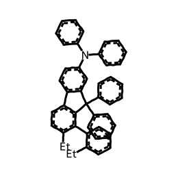 CCc1ccccc1-c1c(CC)ccc2c1C(c1ccccc1)(c1ccccc1)c1cc(N(c3ccccc3)c3ccccc3)ccc1-2